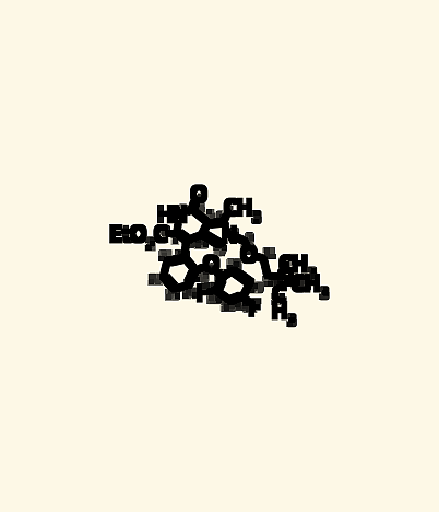 CCOC(=O)c1[nH]c(=O)c2c(C)n(COCC[Si](C)(C)C)cc2c1-c1ccccc1Oc1ccc(F)cc1F